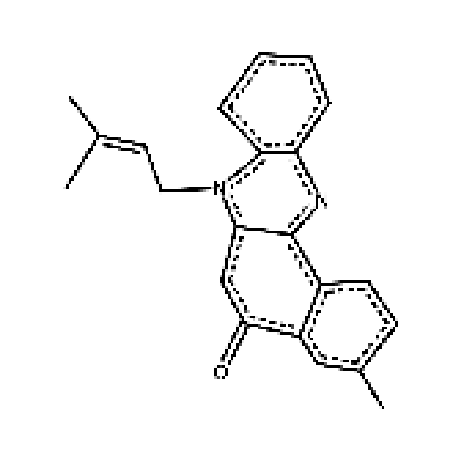 CC(C)=CCn1c2cc(=O)c3cc(C)ccc3c-2nc2ccccc21